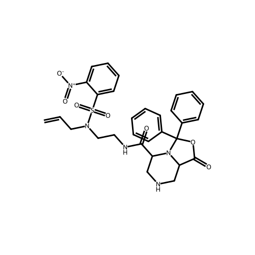 C=CCN(CCNC(=O)C1CNCC2C(=O)OC(c3ccccc3)(c3ccccc3)N12)S(=O)(=O)c1ccccc1[N+](=O)[O-]